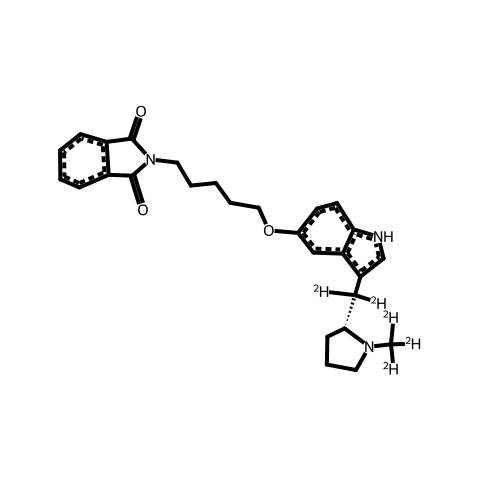 [2H]C([2H])(c1c[nH]c2ccc(OCCCCCN3C(=O)c4ccccc4C3=O)cc12)[C@H]1CCCN1C([2H])([2H])[2H]